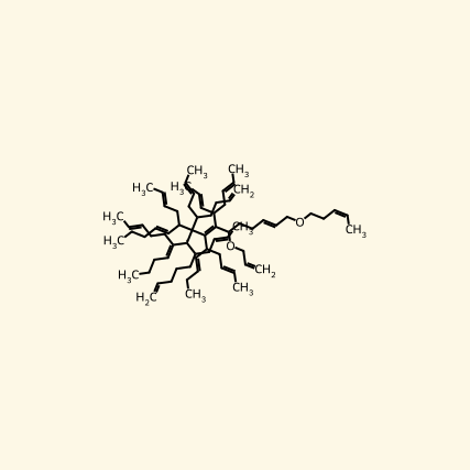 C=CCCCC(C/C=C/C)[C](C(=CCCC)CC/C=C/C)C(/C(=C(\C(/C=C/C)C/C=C/C)C(CC/C=C/COCC/C=C\C)OCC=C)C(/C=C/CC)C/C=C/C)(C(/C=C/CCC)C/C=C/C)C(C/C=C/C)CCC=C